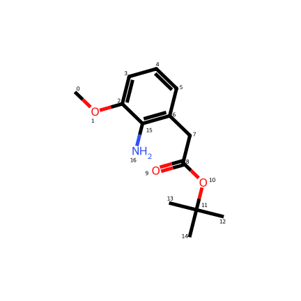 COc1cccc(CC(=O)OC(C)(C)C)c1N